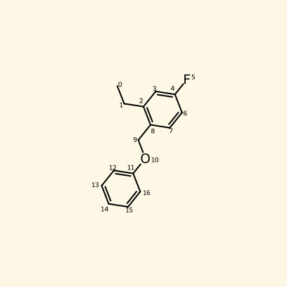 CCc1cc(F)ccc1COc1ccccc1